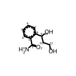 NC(=O)c1ccccc1C(O)[CH]CO